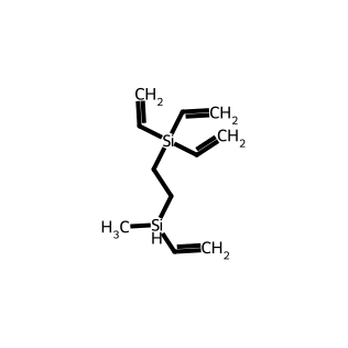 C=C[SiH](C)CC[Si](C=C)(C=C)C=C